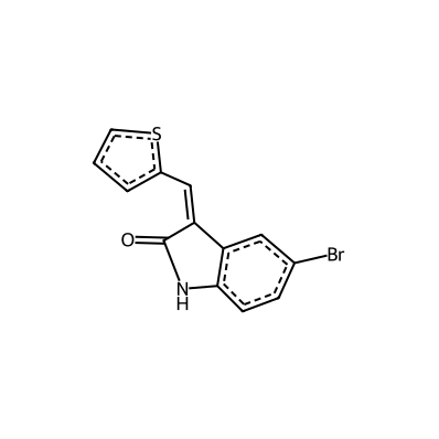 O=C1Nc2ccc(Br)cc2C1=Cc1cccs1